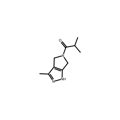 Cc1n[nH]c2c1CN(C(=O)C(C)C)C2